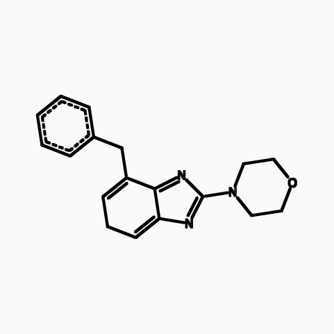 C1=C(Cc2ccccc2)C2=NC(N3CCOCC3)=NC2=CC1